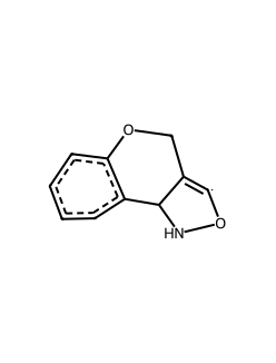 [C]1=C2COc3ccccc3C2NO1